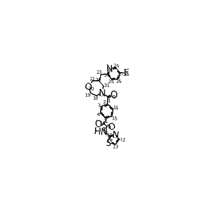 O=C(c1ccc(S(=O)(=O)Nc2nccs2)cc1)N1CCOCC(Cc2ccc(F)cn2)C1